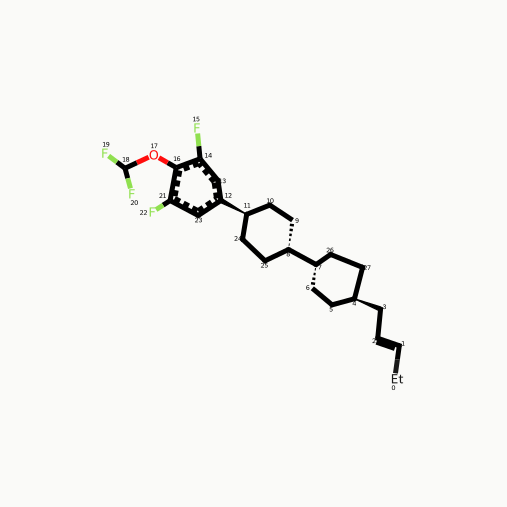 CC/C=C/C[C@H]1CC[C@H]([C@H]2CC[C@H](c3cc(F)c(OC(F)F)c(F)c3)CC2)CC1